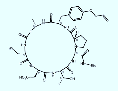 C=CCOc1ccc(C[C@@H]2NC(=O)[C@@H]3CCCN3[C@H](C(=O)NC(C)(C)C)NC(=O)[C@H]([C@@H](C)O)NC(=O)[C@@H](CC(=O)O)NC(=O)[C@H](CC(C)C)NC(=O)C[C@H](C)NC2=O)cc1